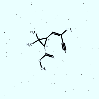 COC(=O)[C@H]1[C@H](C=C(C)C#N)C1(C)C